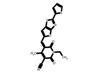 CCN1C(=O)C(C#N)=C(C)/C(=C/c2cc3sc(-c4cccs4)nc3o2)C1=O